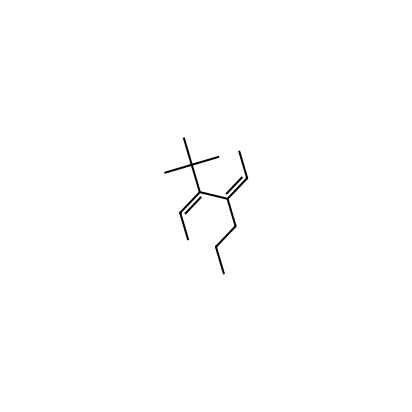 C/C=C(CCC)\C(=C/C)C(C)(C)C